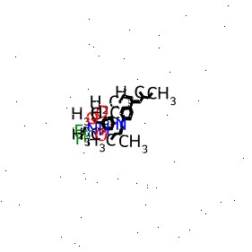 C=C/C=C\C(=C/C(C)CC)c1ccc(N(/C=C(/C)CC)c2cc(OC)c(C(=O)NCC(F)(F)F)c(OC)c2)c(C)c1